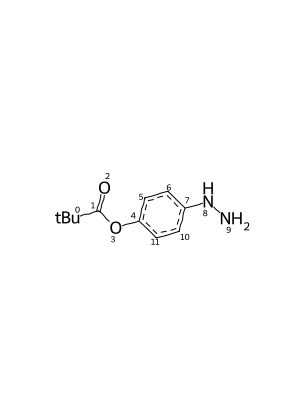 CC(C)(C)C(=O)Oc1ccc(NN)cc1